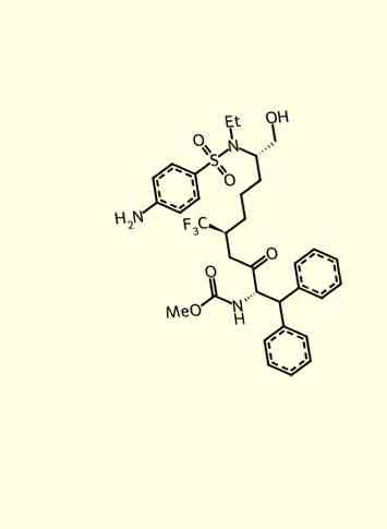 CCN([C@H](CO)CCC[C@@H](CC(=O)[C@@H](NC(=O)OC)C(c1ccccc1)c1ccccc1)C(F)(F)F)S(=O)(=O)c1ccc(N)cc1